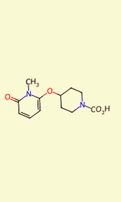 Cn1c(OC2CCN(C(=O)O)CC2)cccc1=O